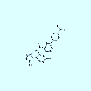 CN(c1cncc(-c2ccc(C(F)F)nc2)n1)c1nc2nnc(Cl)n2c2ccc(F)cc12